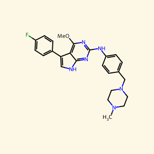 COc1nc(Nc2ccc(CN3CCN(C)CC3)cc2)nc2[nH]cc(-c3ccc(F)cc3)c12